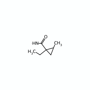 CCC1(C([NH])=O)CC1C